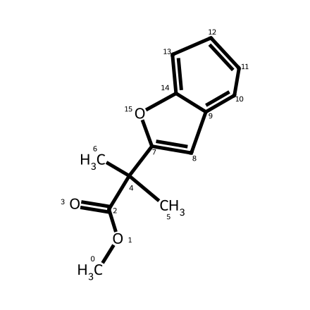 COC(=O)C(C)(C)c1cc2ccccc2o1